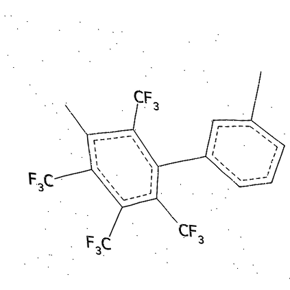 Cc1cccc(-c2c(C(F)(F)F)c(C)c(C(F)(F)F)c(C(F)(F)F)c2C(F)(F)F)c1